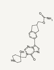 NC(=O)OCC1Cc2ccc(-c3cnc4c(=O)n(CC5(O)CCNCC5)cnn34)cc2C1